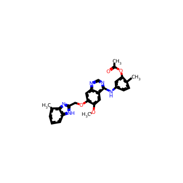 COc1cc2c(Nc3ccc(C)c(OC(C)=O)c3)ncnc2cc1OCc1nc2c(C)cccc2[nH]1